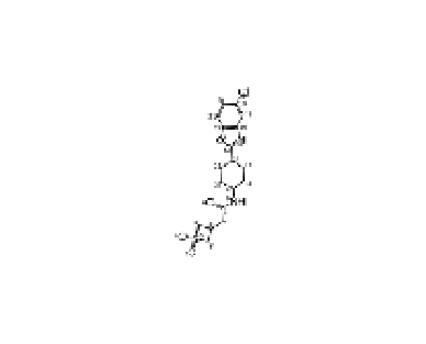 O=C(CC1CS(=O)(=O)C1)NC1CCC(c2nc3cc(Cl)ccc3o2)CC1